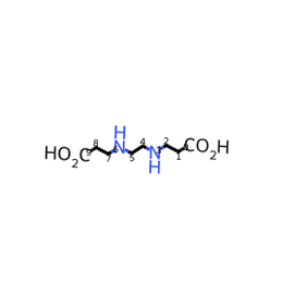 O=C(O)CCNCCNCCC(=O)O